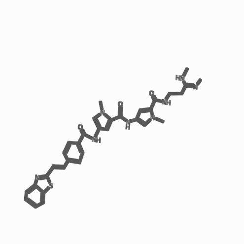 C/N=C(/CCNC(=O)c1cc(NC(=O)c2cc(NC(=O)c3ccc(/C=C/c4nc5ccccc5s4)cc3)cn2C)cn1C)NC